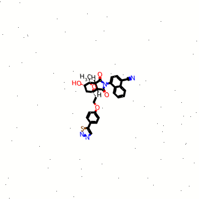 C[C@]12O[C@](CCOc3ccc(-c4cnns4)cc3)(C[C@@H]1O)[C@H]1C(=O)N(c3ccc(C#N)c4ccccc34)C(=O)[C@H]12